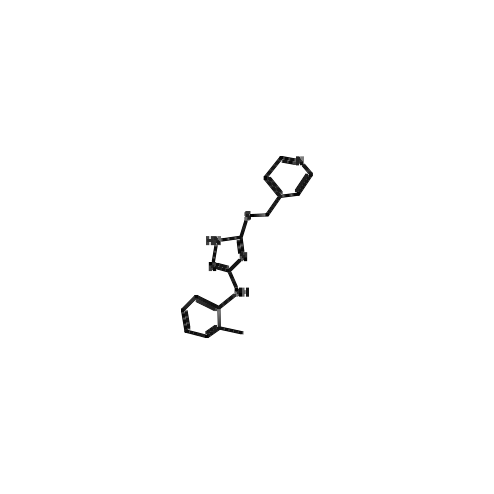 Cc1ccccc1Nc1n[nH]c(SCc2ccncc2)n1